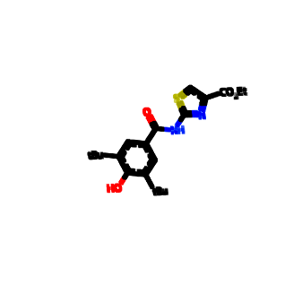 CCOC(=O)c1csc(NC(=O)c2cc(C(C)(C)C)c(O)c(C(C)(C)C)c2)n1